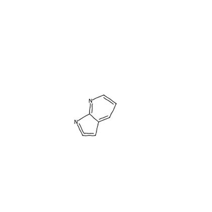 C1=Cc2cccnc2N=1